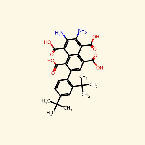 CC(C)(C)c1ccc(-c2cc(C(=O)O)c3c(C(=O)O)c(N)c(N)c(C(=O)O)c3c2C(=O)O)c(C(C)(C)C)c1